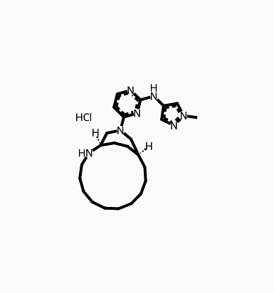 Cl.Cn1cc(Nc2nccc(N3C[C@H]4CCCCCCCCCCN[C@H](CC4)C3)n2)cn1